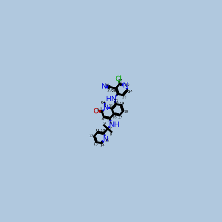 Cn1c(=O)cc(NC(C)(C)c2ccccn2)c2cccc(Nc3ccnc(Cl)c3C#N)c21